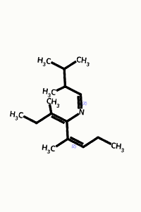 CC/C=C(/C)C(/N=C\C(C)C(C)C)=C(C)CC